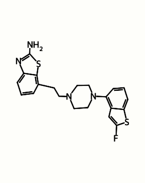 Nc1nc2cccc(CCN3CCN(c4cccc5sc(F)cc45)CC3)c2s1